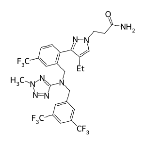 CCc1cn(CCC(N)=O)nc1-c1ccc(C(F)(F)F)cc1CN(Cc1cc(C(F)(F)F)cc(C(F)(F)F)c1)c1nnn(C)n1